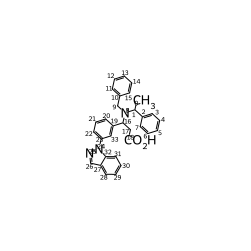 CC(c1ccccc1)N(Cc1ccccc1)C(CC(=O)O)c1cccc(-n2ncc3ccccc32)c1